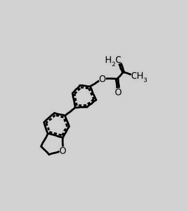 C=C(C)C(=O)Oc1ccc(-c2ccc3c(c2)OCC3)cc1